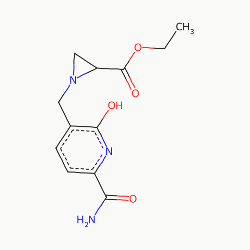 CCOC(=O)C1CN1Cc1ccc(C(N)=O)nc1O